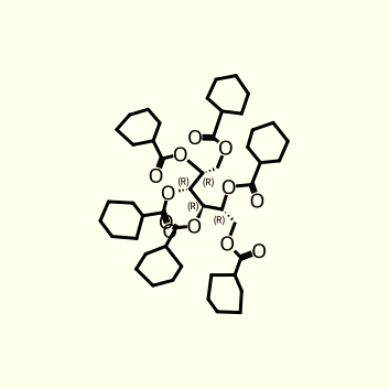 O=C(OC[C@@H](OC(=O)C1CCCCC1)[C@@H](OC(=O)C1CCCCC1)[C@H](OC(=O)C1CCCCC1)[C@@H](COC(=O)C1CCCCC1)OC(=O)C1CCCCC1)C1CCCCC1